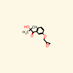 CC(C)(O)C(=O)c1cccc(OCC2CO2)c1